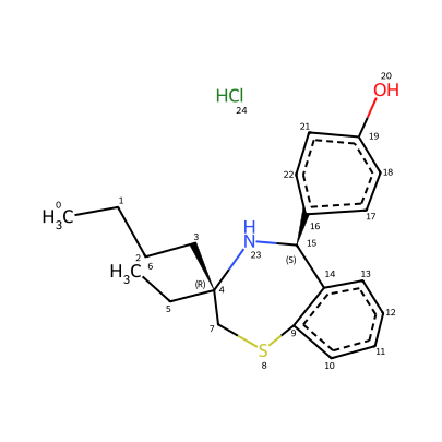 CCCC[C@]1(CC)CSc2ccccc2[C@H](c2ccc(O)cc2)N1.Cl